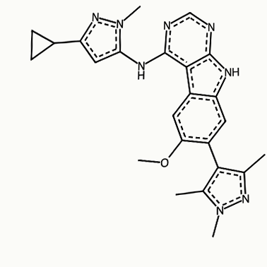 COc1cc2c(cc1-c1c(C)nn(C)c1C)[nH]c1ncnc(Nc3cc(C4CC4)nn3C)c12